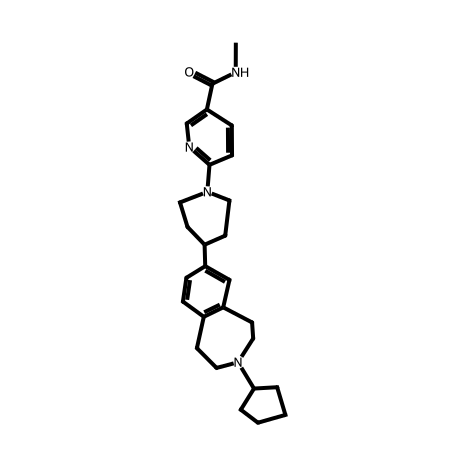 CNC(=O)c1ccc(N2CCC(c3ccc4c(c3)CCN(C3CCCC3)CC4)CC2)nc1